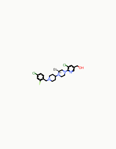 CC[C@H]1CN(c2ncc(CO)cc2Cl)CCN1C1CCN(Cc2ccc(Cl)cc2F)CC1